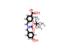 CC(C)(C)OC(=O)N(Cc1ccc(O)cc1)Cc1ccc(C(=O)O)cc1